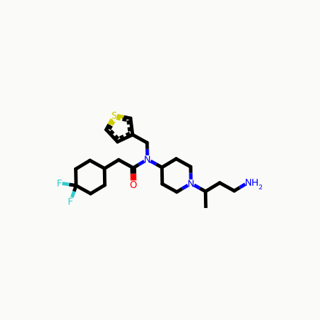 CC(CCN)N1CCC(N(Cc2ccsc2)C(=O)CC2CCC(F)(F)CC2)CC1